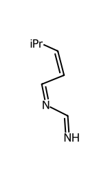 CC(C)/C=C\C=N/C=N